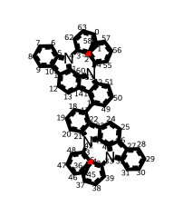 c1ccc(-n2c3ccccc3c3ccc4c5c(-c6cccc7c6c6ccc8c9ccccc9n(-c9ccccc9)c8c6n7-c6ccccc6)cccc5n(-c5ccccc5)c4c32)cc1